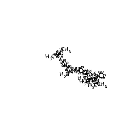 CCOP(=O)(CCN1CCN(c2cc(N)nc(NCc3ccc(CN(CCCN(C(=O)OC(C)(C)C)C4CCCCC4)C(=O)OC(C)(C)C)cc3)n2)CC1)OCC